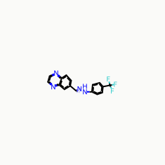 FC(F)(F)c1ccc(N/N=C/c2ccc3nccnc3c2)cc1